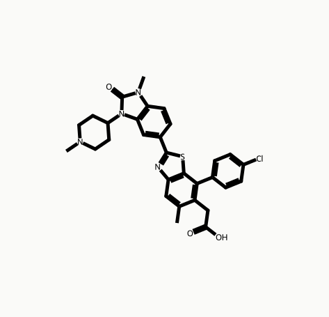 Cc1cc2nc(-c3ccc4c(c3)n(C3CCN(C)CC3)c(=O)n4C)sc2c(-c2ccc(Cl)cc2)c1CC(=O)O